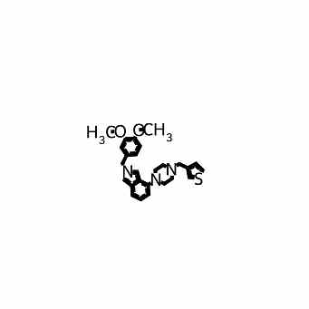 COc1ccc(Cn2cc3cccc(N4CCN(Cc5ccsc5)CC4)c3c2)cc1OC